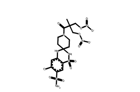 CC(CO[N+](=O)[O-])(CO[N+](=O)[O-])C(=O)N1CCC2(CC1)Nc1cc(Cl)c(S(N)(=O)=O)cc1S(=O)(=O)N2